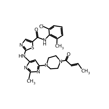 CC=CC(=O)N1CCN(c2cc(Nc3ncc(C(=O)Nc4c(C)cccc4Cl)s3)nc(C)n2)CC1